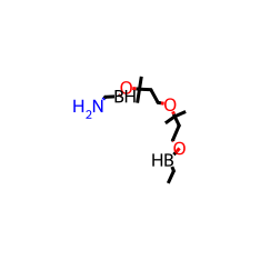 CCBOCCC(C)(C)OCCC(C)(C)OBCN